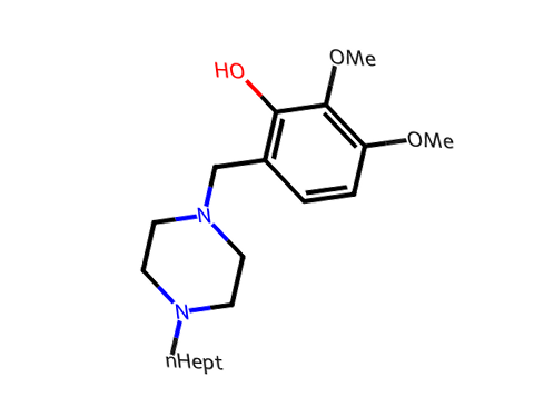 CCCCCCCN1CCN(Cc2ccc(OC)c(OC)c2O)CC1